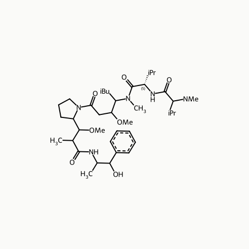 CCC(C)C(C(CC(=O)N1CCCC1C(OC)C(C)C(=O)NC(C)C(O)c1ccccc1)OC)N(C)C(=O)[C@@H](NC(=O)C(NC)C(C)C)C(C)C